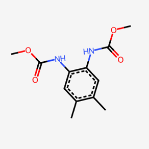 COC(=O)Nc1cc(C)c(C)cc1NC(=O)OC